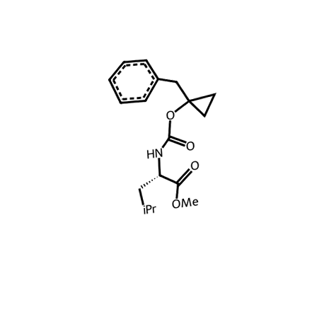 COC(=O)[C@H](CC(C)C)NC(=O)OC1(Cc2ccccc2)CC1